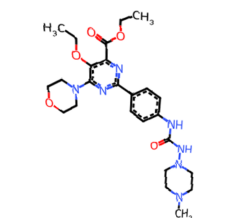 CCOC(=O)c1nc(-c2ccc(NC(=O)NN3CCN(C)CC3)cc2)nc(N2CCOCC2)c1OCC